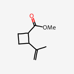 C=C(C)C1CCC1C(=O)OC